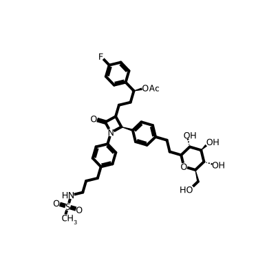 CC(=O)O[C@@H](CCC1C(=O)N(c2ccc(CCCNS(C)(=O)=O)cc2)[C@@H]1c1ccc(CCC2O[C@H](CO)[C@@H](O)[C@H](O)[C@H]2O)cc1)c1ccc(F)cc1